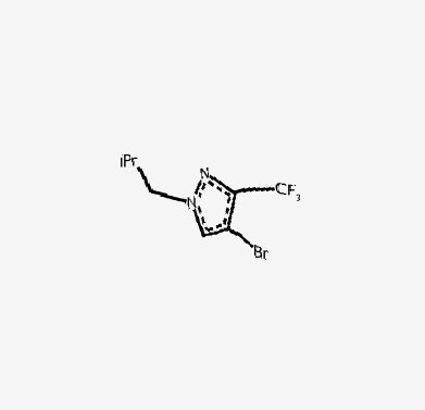 CC(C)Cn1cc(Br)c(C(F)(F)F)n1